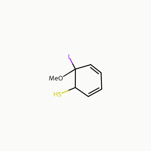 COC1(I)C=CC=CC1S